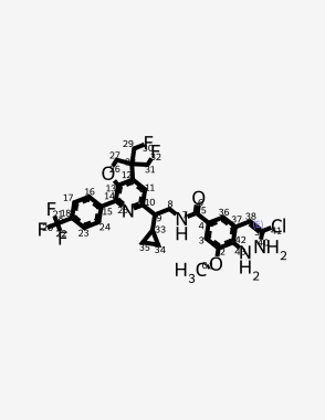 COc1cc(C(=O)NCC(c2cc3c(c(-c4ccc(C(F)(F)F)cc4)n2)OCC3(CF)CF)C2CC2)cc(/C=C(\N)Cl)c1N